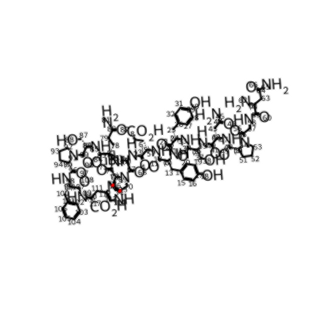 CC[C@H](C)[C@H](NC(=O)[C@H](CCC(=O)O)NC(=O)[C@H](Cc1ccc(O)cc1)NC(=O)[C@H](Cc1ccc(O)cc1)NC(=O)[C@H](CO)NC(=O)[C@H](CC(N)=O)NC(=O)[C@@H]1CCCN1C(=O)CNC(=O)[C@@H](N)CC(N)=O)C(=O)N1CCC[C@H]1C(=O)N[C@@H](CCC(N)=O)C(=O)N[C@@H](CO)C(=O)N1CCC[C@H]1C(=O)N[C@@H](Cc1ccccc1)C(=O)N[C@@H](Cc1c[nH]cn1)C(=O)O